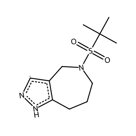 CC(C)(C)S(=O)(=O)N1CCCc2[nH]n[c]c2C1